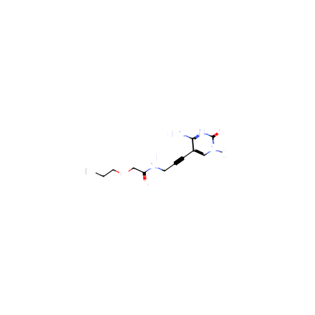 CCn1cc(C#CCNC(=O)COCCC(C)C)c(N)nc1=O